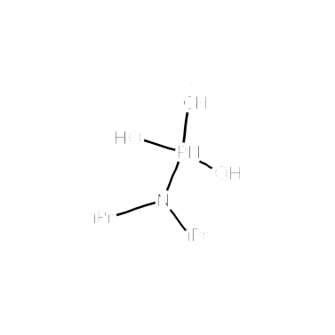 CC(C)N(C(C)C)[PH](C)(O)O